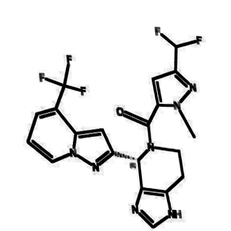 Cn1nc(C(F)F)cc1C(=O)N1CCc2[nH]cnc2[C@@H]1c1cc2c(C(F)(F)F)cccn2n1